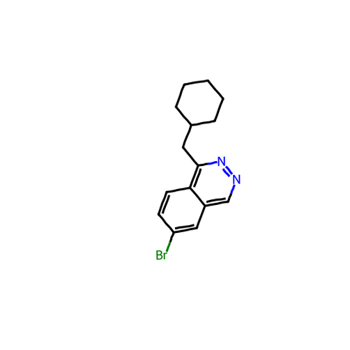 Brc1ccc2c(CC3CCCCC3)nncc2c1